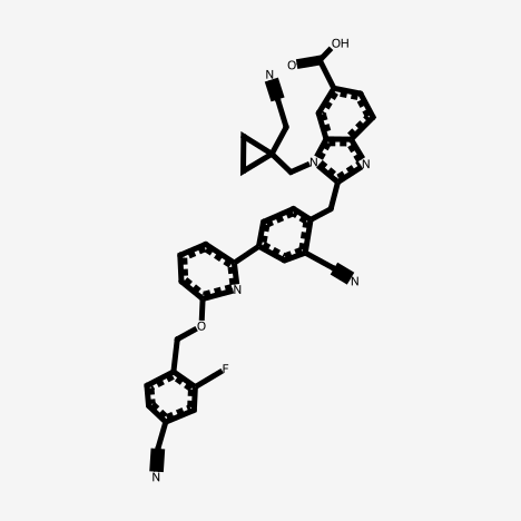 N#CCC1(Cn2c(Cc3ccc(-c4cccc(OCc5ccc(C#N)cc5F)n4)cc3C#N)nc3ccc(C(=O)O)cc32)CC1